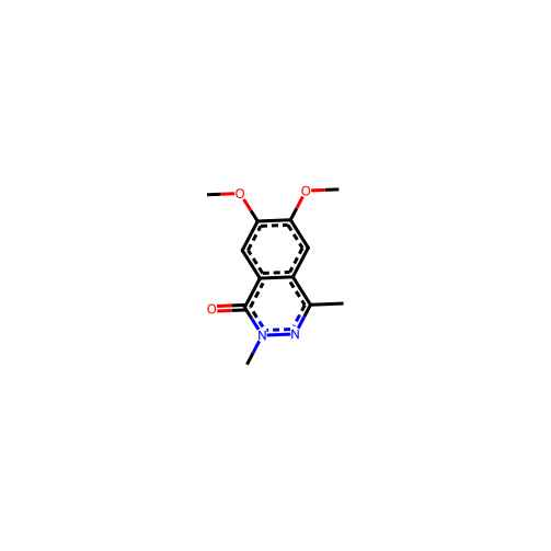 COc1cc2c(C)nn(C)c(=O)c2cc1OC